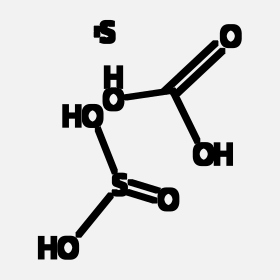 O=C(O)O.O=S(O)O.[S]